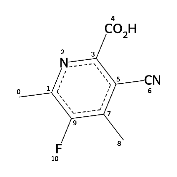 Cc1nc(C(=O)O)c(C#N)c(C)c1F